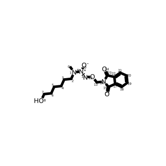 CN(CCCCCCO)[N+]([O-])=NOCN1C(=O)c2ccccc2C1=O